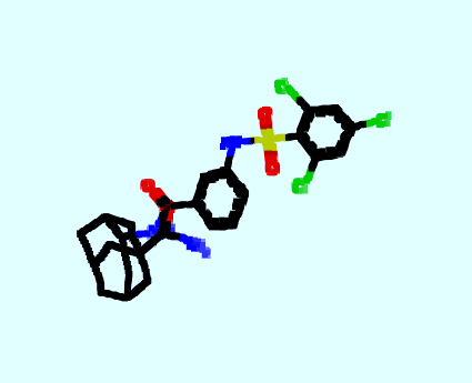 NC(=O)C12CC3CC(C1)C(NC(=O)c1cccc(NS(=O)(=O)c4c(Cl)cc(Cl)cc4Cl)c1)C(C3)C2